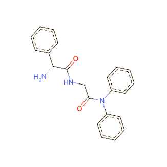 N[C@@H](C(=O)NCC(=O)N(c1ccccc1)c1ccccc1)c1ccccc1